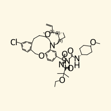 C=C[C@H](OC)[C@@H]1CC[C@H]1CN1CCCCc2cc(Cl)ccc2COc2ccc(S(=O)(=NC(=O)C(C)(C)OCC)NC(=O)N[C@H]3CC[C@H](OC)CC3)cc21